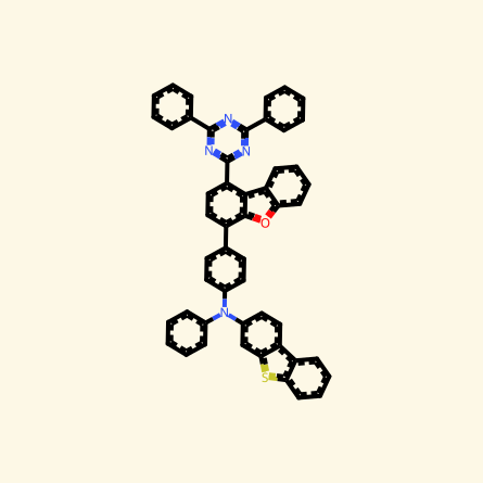 c1ccc(-c2nc(-c3ccccc3)nc(-c3ccc(-c4ccc(N(c5ccccc5)c5ccc6c(c5)sc5ccccc56)cc4)c4oc5ccccc5c34)n2)cc1